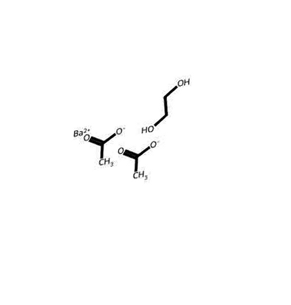 CC(=O)[O-].CC(=O)[O-].OCCO.[Ba+2]